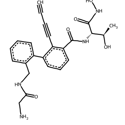 C#CC#Cc1c(C(=O)N[C@H](C(=O)NO)[C@@H](C)O)cccc1-c1ccccc1CNC(=O)CN